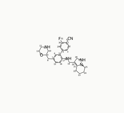 N#Cc1ccc(-c2cc(CC3CNCCO3)ccc2NCC2=C3CCCCN3NC2)cc1F